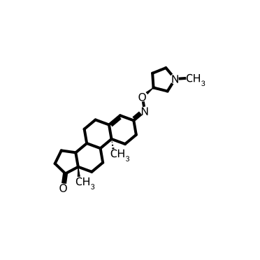 CN1CC[C@H](O/N=C2\C=C3CCC4C5CCC(=O)[C@@]5(C)CCC4[C@]3(C)CC2)C1